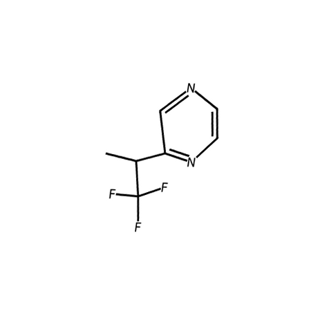 CC(c1cnccn1)C(F)(F)F